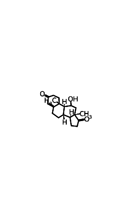 C[C@]12CCC(=O)C=C1CC[C@@H]1[C@@H]2C(O)C[C@]2(C)C(=O)CC[C@@H]12